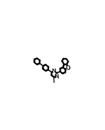 Ic1cc(-c2ccc(-c3ccccc3)cc2)nc(-c2ccc3oc4ccccc4c3c2)n1